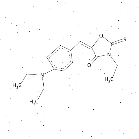 CCN1C(=O)/C(=C\c2ccc(N(CC)CC)cc2)OC1=S